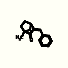 CC12CCC(C1)C(=Cc1ccccc1)C2=O